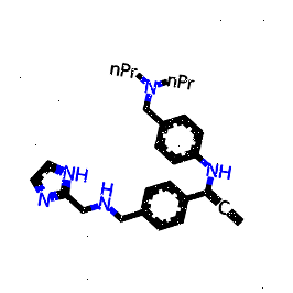 C=C=C(Nc1ccc(CN(CCC)CCC)cc1)c1ccc(CNCc2ncc[nH]2)cc1